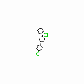 Clc1ccc(C2=CCC(Cl)(c3ccccc3)C=C2)cc1